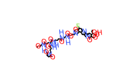 CC[C@@]1(O)C(=O)OCc2c1cc1n(c2=O)Cc2cc3c4c(c(F)cc3nc2-1)OCN(CCOC(=O)NCCNC(=O)CCCNC(=O)[C@H](CCC(=O)NCCOC)NC(=O)CCCN1C(=O)C=CC1=O)C4